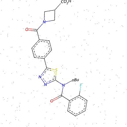 CCCCN(C(=O)c1ccccc1F)c1nnc(-c2ccc(C(=O)N3CC(C(=O)O)C3)cc2)s1